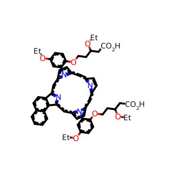 CCOc1ccc(OCCC(CC(=O)O)OCC)c(-n2c3ccc2cc2nc(cc4ccc(cc5nc(c3)C=C5)n4-c3cc(OCC)ccc3OCCC(CC(=O)O)OCC)-c3c-2ccc2ccccc32)c1